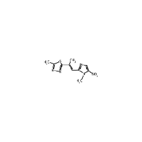 C/C(=C\c1ncc([N+](=O)[O-])n1C)c1nnc(C)s1